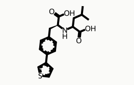 CC(C)CC(N[C@@H](Cc1ccc(-c2ccsc2)cc1)C(=O)O)C(=O)O